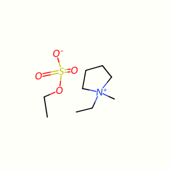 CCOS(=O)(=O)[O-].CC[N+]1(C)CCCC1